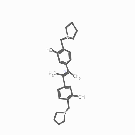 C/C(=C(/C)c1ccc(CN2CCCC2)c(O)c1)c1ccc(CN2CCCC2)c(O)c1